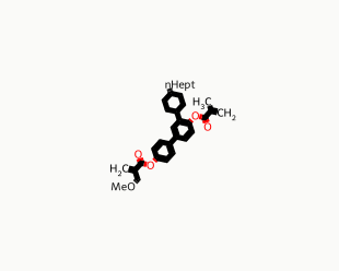 C=C(C)C(=O)Oc1ccc(-c2ccc(OC(=O)C(=C)COC)cc2)cc1C1CCC(CCCCCCC)CC1